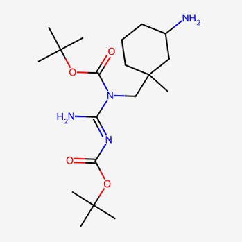 CC1(CN(C(=O)OC(C)(C)C)C(N)=NC(=O)OC(C)(C)C)CCCC(N)C1